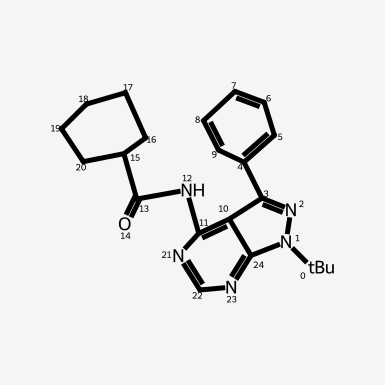 CC(C)(C)n1nc(-c2ccccc2)c2c(NC(=O)C3CCCCC3)ncnc21